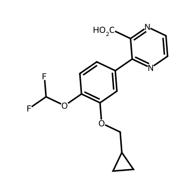 O=C(O)c1nccnc1-c1ccc(OC(F)F)c(OCC2CC2)c1